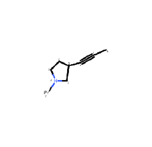 CC#CC1CCN(C(C)C)C1